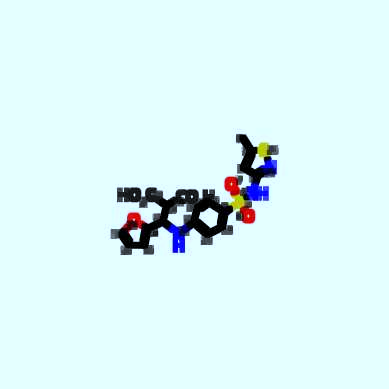 Cc1cc(NS(=O)(=O)c2ccc(NC(c3ccco3)C(C(=O)O)C(=O)O)cc2)ns1